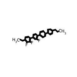 CCCc1ccc(-c2ccc(-c3ccc(-c4ccc(CCC)c(F)c4F)cc3F)cc2)cc1